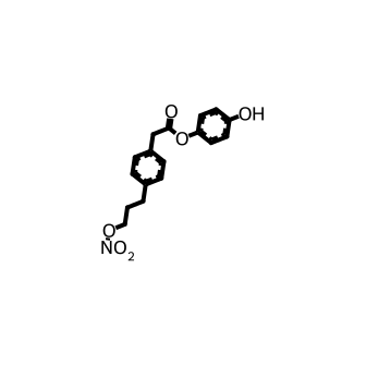 O=C(Cc1ccc(CCCO[N+](=O)[O-])cc1)Oc1ccc(O)cc1